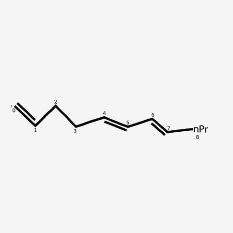 [CH]=CCCC=CC=CCCC